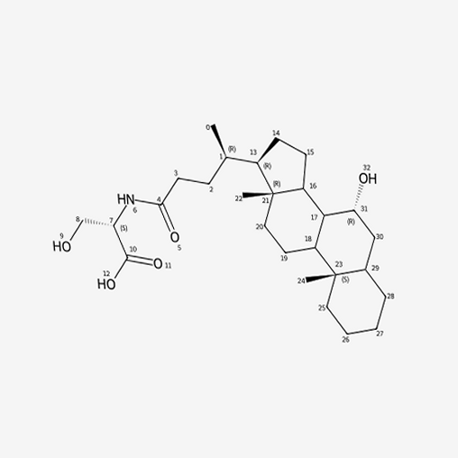 C[C@H](CCC(=O)N[C@@H](CO)C(=O)O)[C@H]1CCC2C3C(CC[C@@]21C)[C@@]1(C)CCCCC1C[C@H]3O